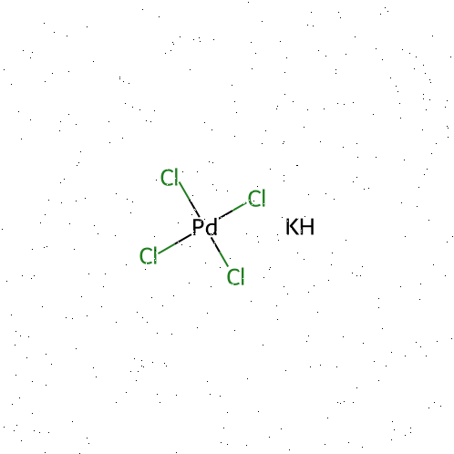 [Cl][Pd]([Cl])([Cl])[Cl].[KH]